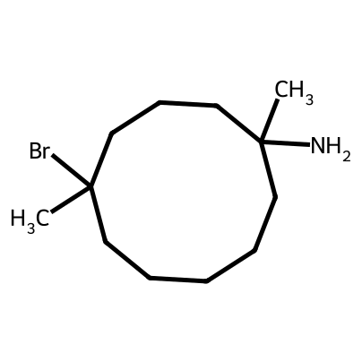 CC1(N)CCCCCC(C)(Br)CCC1